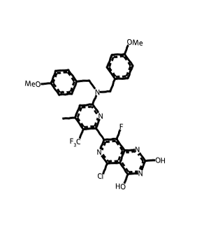 COc1ccc(CN(Cc2ccc(OC)cc2)c2cc(C)c(C(F)(F)F)c(-c3nc(Cl)c4c(O)nc(O)nc4c3F)n2)cc1